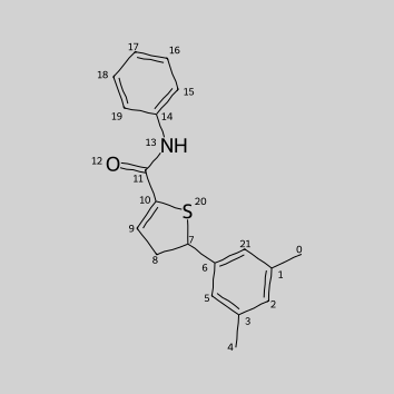 Cc1cc(C)cc(C2CC=C(C(=O)Nc3ccccc3)S2)c1